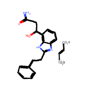 NC(=O)CC(O)c1cccc2nc(CCc3ccccc3)[nH]c12.O=C(O)C=CC(=O)O